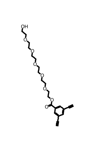 C#Cc1cc(C#C)cc(C(=O)OCCOCCOCCOCCOCCOCCO)c1